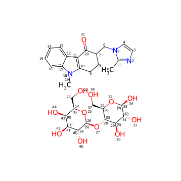 Cc1nccn1CC1CCc2c(c3ccccc3n2C)C1=O.OC[C@H]1O[C@@H](O[C@H]2[C@H](O)[C@@H](O)[C@H](O)O[C@@H]2CO)[C@H](O)[C@@H](O)[C@H]1O